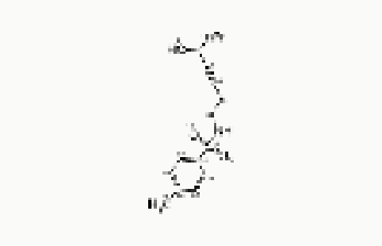 CCCC(O)C#CCCNS(=O)(=O)c1ccc(C)cc1